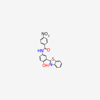 O=C(Nc1ccc(O)c(-c2nc3ccccc3s2)c1)c1ccc([N+](=O)[O-])cc1